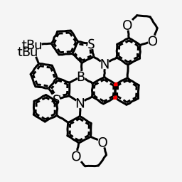 CC(C)(C)c1ccc2sc3c(c2c1)B1c2c(cccc2N(c2cc4c(cc2-c2ccccc2)OCCCO4)c2sc4ccc(C(C)(C)C)cc4c21)N3c1cc2c(cc1-c1ccccc1)OCCCO2